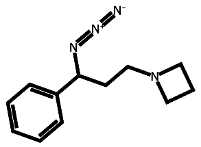 [N-]=[N+]=NC(CCN1CCC1)c1ccccc1